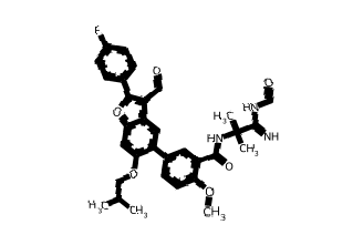 COc1ccc(-c2cc3c(C=O)c(-c4ccc(F)cc4)oc3cc2OCC(C)C)cc1C(=O)NC(C)(C)C(=N)NC=O